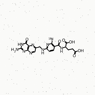 Nc1nc2ncc(CNc3ccc(C(=O)NC(CCC(=O)O)C(=O)O)c([18F])n3)nc2c(=O)[nH]1